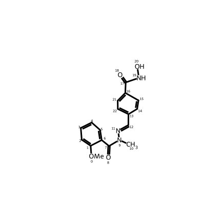 COc1ccccc1C(=O)N(C)N=Cc1ccc(C(=O)NO)cc1